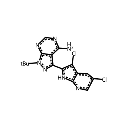 CC(C)(C)n1nc(-c2[nH]c3ncc(Cl)cc3c2Cl)c2c(N)ncnc21